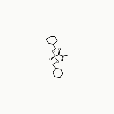 C=C(C)C(=O)P(=O)(OCC1CCCCC1)OCC1CCCCC1